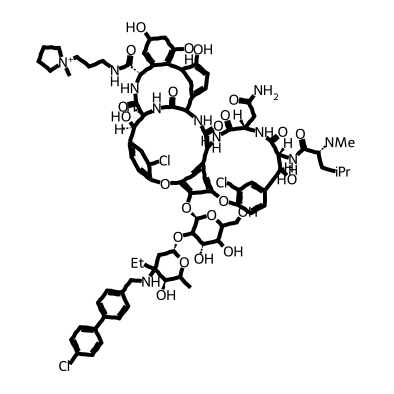 CCC1(NCc2ccc(-c3ccc(Cl)cc3)cc2)C[C@H](OC2[C@@H](Oc3c4cc5cc3Oc3ccc(cc3Cl)[C@@H](O)[C@@H](NC(=O)[C@@H](CC(C)C)NC)C(=O)N[C@@H](CC(N)=O)C(=O)N[C@H]5C(=O)NC3C(=O)N[C@H](C(=O)N[C@H](C(=O)NCCC[N+]5(C)CCCC5)C5=CC(O)CC(O)=C5C5CC3=CC=C5O)[C@H](O)C3=CC=C(O4)C(Cl)C3)OC(CO)C(O)[C@@H]2O)OC(C)[C@H]1O